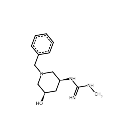 CNC(=N)N[C@H]1C[C@@H](O)CN(Cc2ccccc2)C1